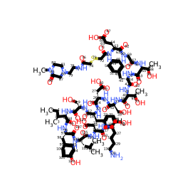 CC[C@H](C)[C@H](NC(=O)[C@H](CO)NC(=O)[C@H](Cc1ccc(O)cc1)NC(=O)[C@H](CC(=O)O)NC(=O)[C@H](CO)NC(=O)[C@@H](NC(=O)[C@H](Cc1ccccc1)NC(=O)[C@@H](NC(=O)CNC(=O)[C@H](CCC(=O)O)NC(=O)CSCC(=O)NCCN1CCN(C)C(=O)C1)[C@@H](C)O)[C@@H](C)O)C(=O)N[C@@H](Cc1ccc(O)cc1)C(=O)N[C@@H](CC(C)C)C(=O)N[C@@H](CC(=O)O)C(=O)N[C@H](C)CCCCN